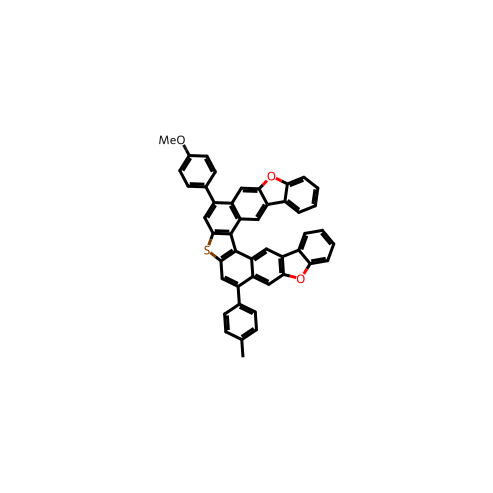 COc1ccc(-c2cc3sc4cc(-c5ccc(C)cc5)c5cc6oc7ccccc7c6cc5c4c3c3cc4c(cc23)oc2ccccc24)cc1